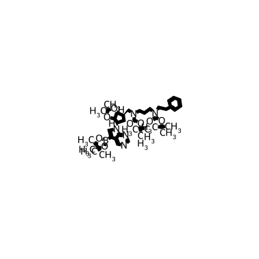 CC(C)(C)OC(=O)N(CCCN(C[C@H]1C[C@@H](n2cc(B3OC(C)(C)C(C)(C)O3)c3cncnc32)[C@@H]2OC(C)(C)O[C@H]12)C(=O)OC(C)(C)C)CCc1ccccc1